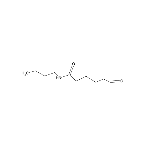 CCCCNC(=O)CCCCC=O